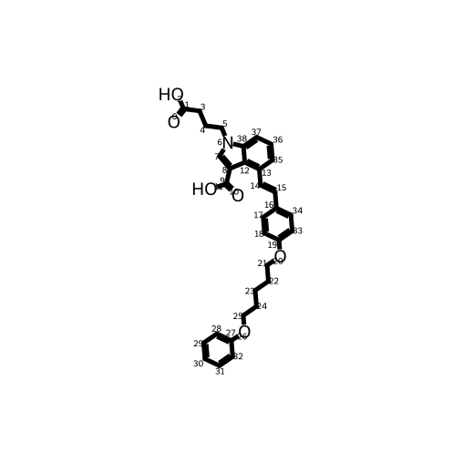 O=C(O)CCCn1cc(C(=O)O)c2c(/C=C/c3ccc(OCCCCCOc4ccccc4)cc3)cccc21